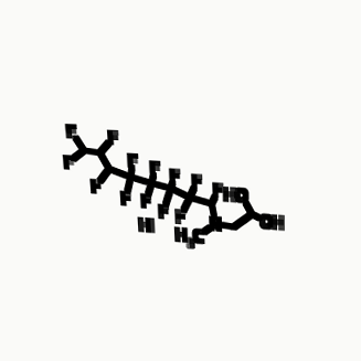 CN(CC(O)O)C(F)C(F)(F)C(F)(F)C(F)(F)C(F)(F)C(F)C(F)C(F)F.I